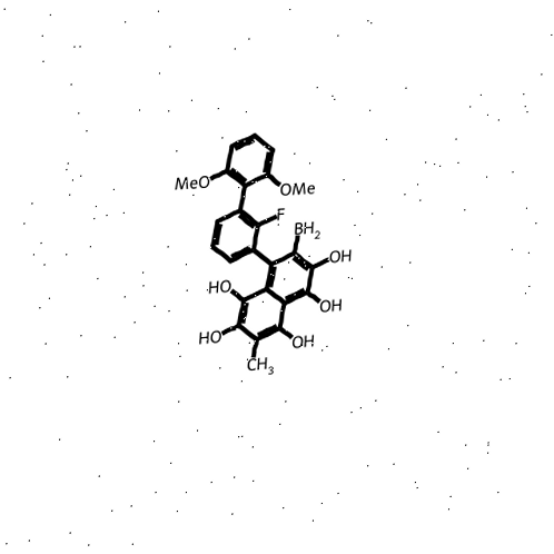 Bc1c(O)c(O)c2c(O)c(C)c(O)c(O)c2c1-c1cccc(-c2c(OC)cccc2OC)c1F